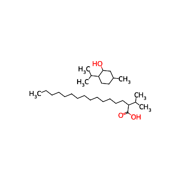 CC1CCC(C(C)C)C(O)C1.CCCCCCCCCCCCCCC(C(=O)O)C(C)C